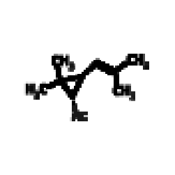 [CH2]C(=O)[C@H]1[C@H](C=C(C)C)C1(C)C